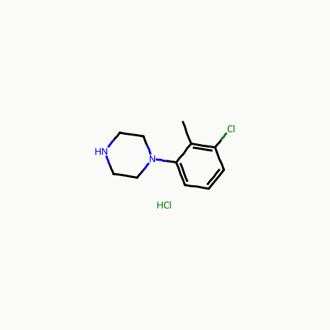 Cc1c(Cl)cccc1N1CCNCC1.Cl